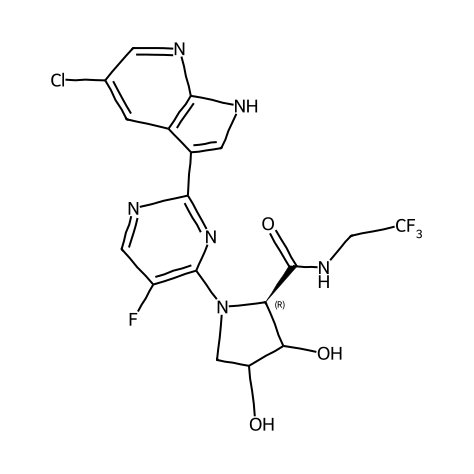 O=C(NCC(F)(F)F)[C@H]1C(O)C(O)CN1c1nc(-c2c[nH]c3ncc(Cl)cc23)ncc1F